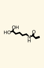 C=CC(=O)NCCCCC(O)O